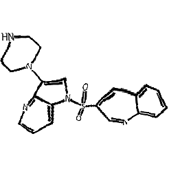 O=S(=O)(c1cnc2ccccc2c1)n1cc(N2CCNCC2)c2ncccc21